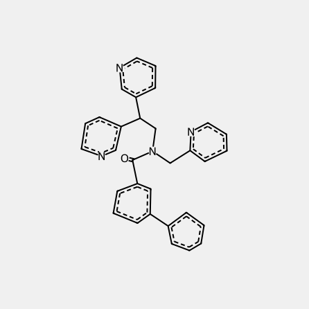 O=C(c1cccc(-c2ccccc2)c1)N(Cc1ccccn1)CC(c1cccnc1)c1cccnc1